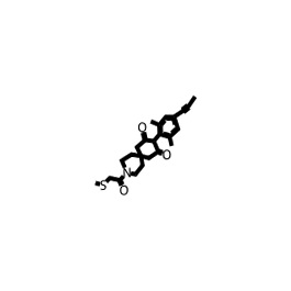 CC#Cc1cc(C)c(C2C(=O)CC3(CCN(C(=O)CSC)CC3)CC2=O)c(C)c1